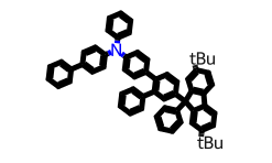 CC(C)(C)c1ccc2c(c1)C(c1ccccc1)(c1ccc(-c3ccc(N(c4ccccc4)c4ccc(-c5ccccc5)cc4)cc3)c(-c3ccccc3)c1)c1cc(C(C)(C)C)ccc1-2